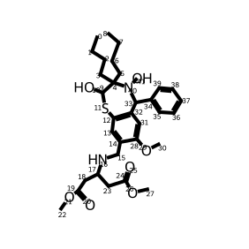 CCCCC1(CCCC)C(O)Sc2cc(CNC(CC(=O)OC)CC(=O)OC)c(OC)cc2C(c2ccccc2)N1O